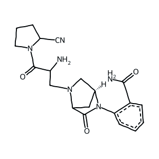 N#CC1CCCN1C(=O)C(N)CN1C[C@@H]2CC1C(=O)N2c1ccccc1C(N)=O